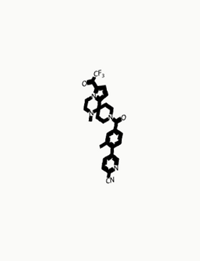 Cc1cc(C(=O)N2CCC3(CC2)c2ccc(C(=O)C(F)(F)F)n2CCN3C)ccc1-c1ccc(C#N)nc1